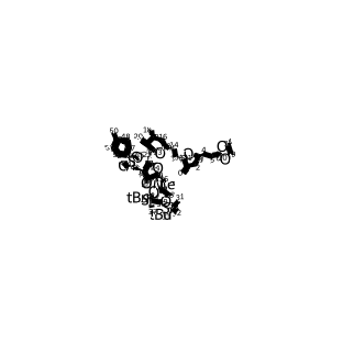 C=C1C[C@H](CCC2OCCO2)O[C@H]1CC[C@H]1CC(C)C(=C)[C@@H](C[C@@H]2O[C@H](C[C@@H](CO[Si](C)(C)C(C)(C)C)O[Si](C)(C)C(C)(C)C)[C@@H](OC)[C@H]2CS(=O)(=O)c2ccc(C)cc2)O1